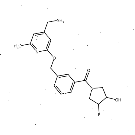 Cc1cc(CN)cc(OCc2cccc(C(=O)N3CC(O)C(F)C3)c2)n1